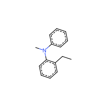 CCc1ccccc1N(C)c1ccccc1